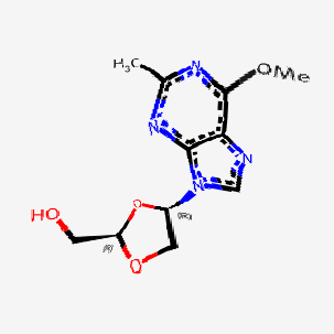 COc1nc(C)nc2c1ncn2[C@H]1CO[C@@H](CO)O1